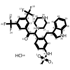 CS(=O)(=O)Nc1ccc(C(C(=O)c2cc(C(F)(F)F)cc(C(F)(F)F)c2)N2CCNCC2)c(Cc2c[nH]c3ccccc23)c1.Cl